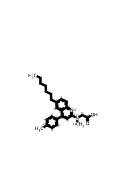 CCCCCCCc1ccc2nc(N(C)CC(=O)O)cc(-c3ccc(C)cc3)c2c1